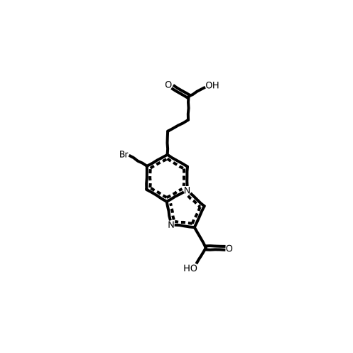 O=C(O)CCc1cn2cc(C(=O)O)nc2cc1Br